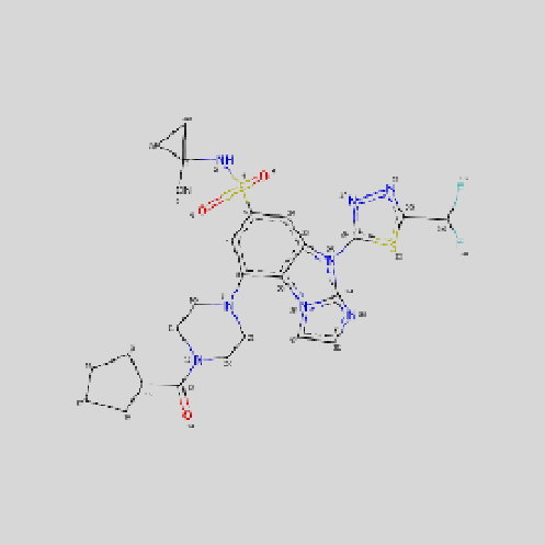 N#CC1(NS(=O)(=O)c2cc(N3CCN(C(=O)C4CCCC4)CC3)c3c(c2)n(-c2nnc(C(F)F)s2)c2nccn32)CC1